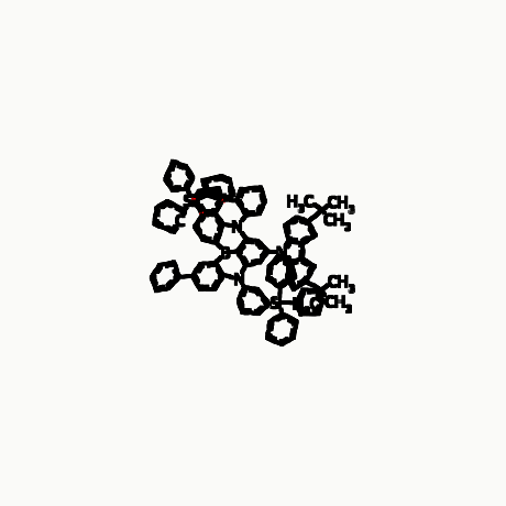 CC(C)(C)c1ccc2c(c1)c1cc(C(C)(C)C)ccc1n2-c1cc2c3c(c1)N(c1ccccc1-c1ccccc1)c1cc([Si](c4ccccc4)(c4ccccc4)c4ccccc4)ccc1B3c1cc(-c3ccccc3)ccc1N2c1cccc([Si](c2ccccc2)(c2ccccc2)c2ccccc2)c1